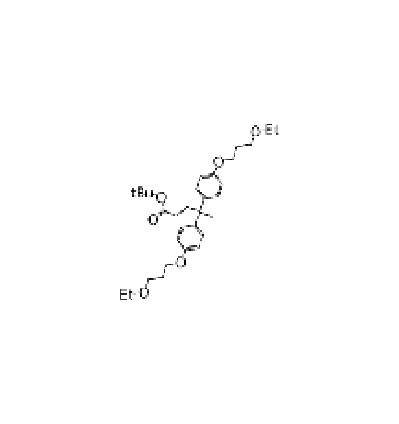 CCOCCCOc1ccc(C(C)(CCC(=O)OC(C)(C)C)c2ccc(OCCCOCC)cc2)cc1